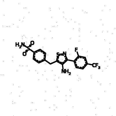 Nc1c(-c2ccc(C(F)(F)F)cc2F)nsc1Cc1ccc(S(N)(=O)=O)cc1